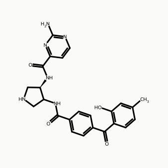 Cc1ccc(C(=O)c2ccc(C(=O)NC3CNC[C@H]3NC(=O)c3ccnc(N)n3)cc2)c(O)c1